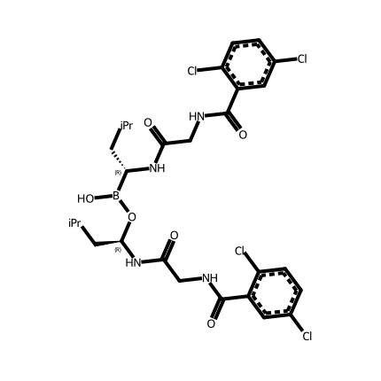 CC(C)C[C@H](NC(=O)CNC(=O)c1cc(Cl)ccc1Cl)OB(O)[C@H](CC(C)C)NC(=O)CNC(=O)c1cc(Cl)ccc1Cl